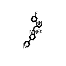 CCn1c(Cc2ccnn2-c2cccc(F)c2)nc2cc(-c3ccncc3)ccc21